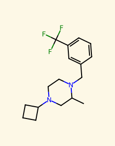 CC1CN(C2CCC2)CCN1Cc1cccc(C(F)(F)F)c1